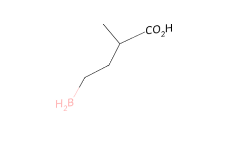 BCCC(C)C(=O)O